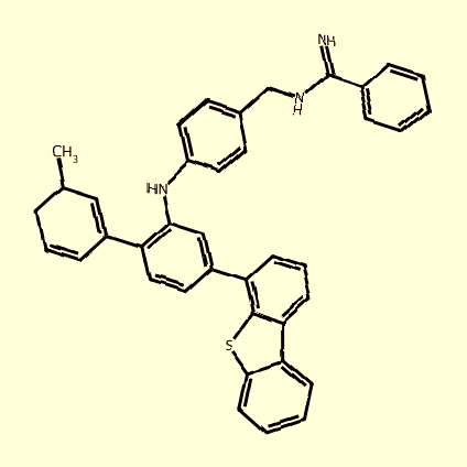 CC1C=C(c2ccc(-c3cccc4c3sc3ccccc34)cc2Nc2ccc(CNC(=N)c3ccccc3)cc2)C=CC1